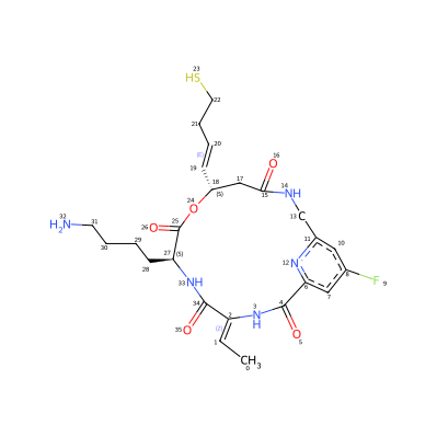 C/C=C1\NC(=O)c2cc(F)cc(n2)CNC(=O)C[C@@H](/C=C/CCS)OC(=O)[C@H](CCCCN)NC1=O